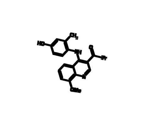 COc1cccc2c(Nc3ccc(O)cc3C)c(C(=O)C(C)C)cnc12